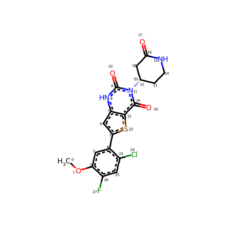 COc1cc(-c2cc3[nH]c(=O)n([C@H]4CCNC(=O)C4)c(=O)c3s2)c(Cl)cc1F